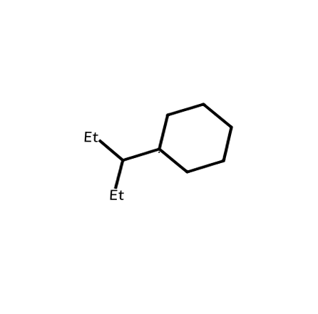 CCC(CC)[C]1CCCCC1